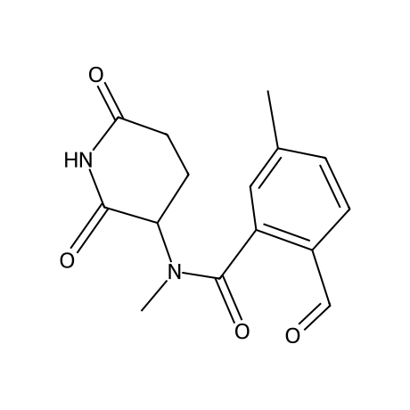 Cc1ccc(C=O)c(C(=O)N(C)C2CCC(=O)NC2=O)c1